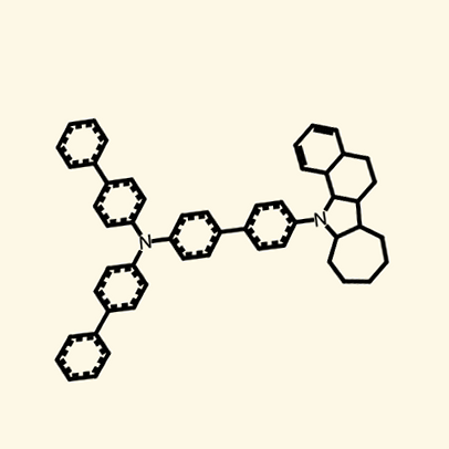 C1=CC2CCC3C4CCCCCC4N(c4ccc(-c5ccc(N(c6ccc(-c7ccccc7)cc6)c6ccc(-c7ccccc7)cc6)cc5)cc4)C3C2C=C1